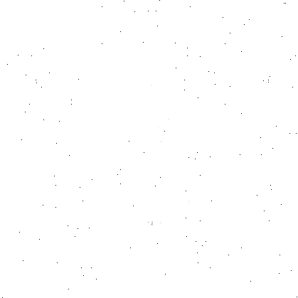 CC(=O)Nc1ccc(-c2cc(NC(=O)C3(c4ccc5c(c4)OCO5)CC3)ccc2C)cc1OC(F)(F)F